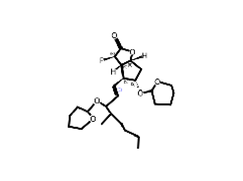 CCCCC(C)C(/C=C/[C@H]1[C@H]2[C@@H](C[C@@H]1OC1CCCCO1)OC(=O)[C@@H]2F)OC1CCCCO1